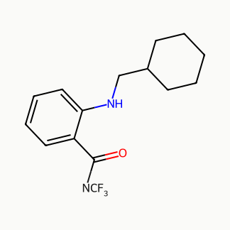 O=C(NC(F)(F)F)c1ccccc1NCC1CCCCC1